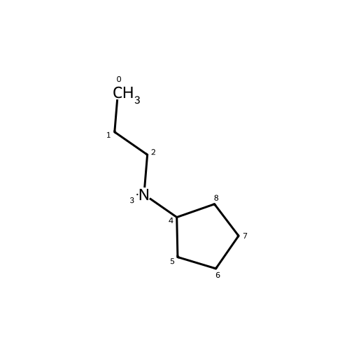 CCC[N]C1CCCC1